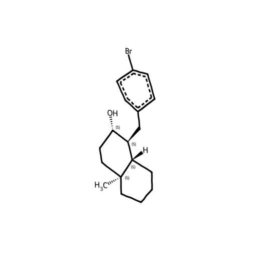 C[C@@]12CCCC[C@H]1[C@H](Cc1ccc(Br)cc1)[C@@H](O)CC2